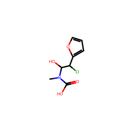 CN(C(=O)O)C(O)C(Cl)c1ccco1